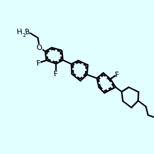 BCOc1ccc(-c2ccc(-c3ccc(C4CCC(CCC=C)CC4)c(F)c3)cc2)c(F)c1F